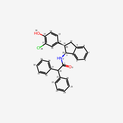 O=C(N[C@@H]1c2ccccc2C[C@@H]1c1ccc(O)c(Cl)c1)C(c1ccccc1)c1ccccc1